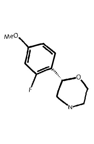 COc1ccc([C@H]2C[N]CCO2)c(F)c1